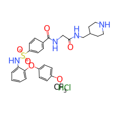 Cl.O=C(CNC(=O)c1ccc(S(=O)(=O)Nc2ccccc2Oc2ccc(OC(F)(F)F)cc2)cc1)NCC1CCNCC1